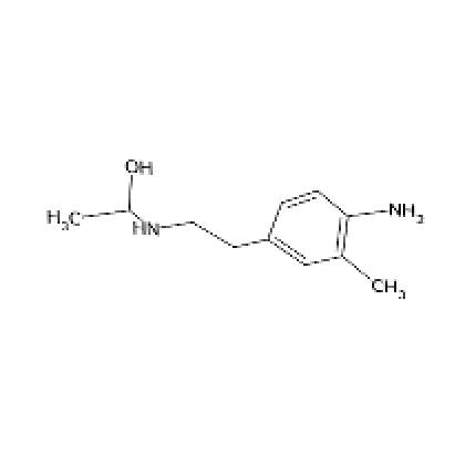 Cc1cc(CCNC(C)O)ccc1N